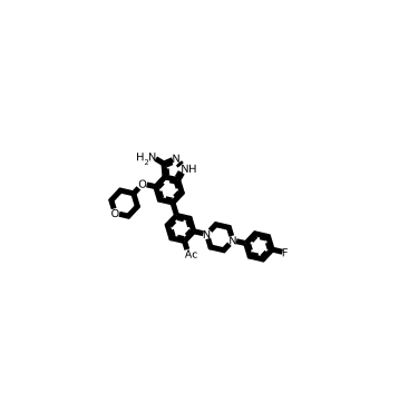 CC(=O)c1ccc(-c2cc(OC3CCOCC3)c3c(N)n[nH]c3c2)cc1N1CCN(c2ccc(F)cc2)CC1